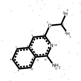 [2H]C([2H])Oc1cc2ccccc2c(N)n1